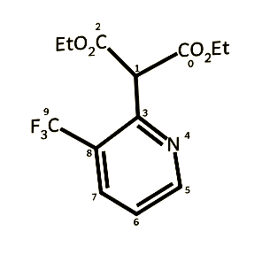 CCOC(=O)C(C(=O)OCC)c1ncccc1C(F)(F)F